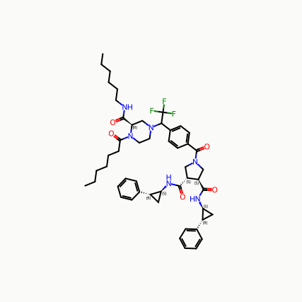 CCCCCCNC(=O)[C@H]1CN(C(c2ccc(C(=O)N3C[C@@H](C(=O)N[C@H]4C[C@@H]4c4ccccc4)[C@H](C(=O)N[C@H]4C[C@@H]4c4ccccc4)C3)cc2)C(F)(F)F)CCN1C(=O)CCCCCC